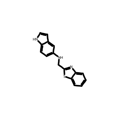 c1ccc2sc(CNc3ccc4[nH]ccc4c3)nc2c1